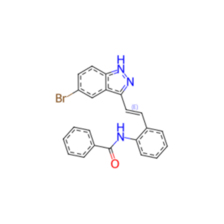 O=C(Nc1ccccc1/C=C/c1n[nH]c2ccc(Br)cc12)c1ccccc1